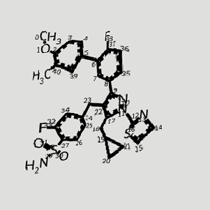 COc1ccc(-c2cc(-c3nn(-c4nccs4)c(CC4CC4)c3Cc3ccc(S(N)(=O)=O)c(F)c3)ccc2F)cc1C